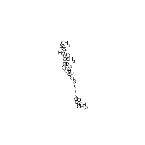 C=CC(C=C)OC(=O)OCCCCCCCCCCOc1ccc(-c2ccc(-c3ccc4c(c3)C3(c5cc(-c6ccc7c(c6)C6(c8cc(-c9cc%10sc(C)cc%10s9)ccc8-7)C7(C)CCCC6(C)CCC7)ccc5-4)C4(C)CCCC3(C)CCC4)s2)cc1